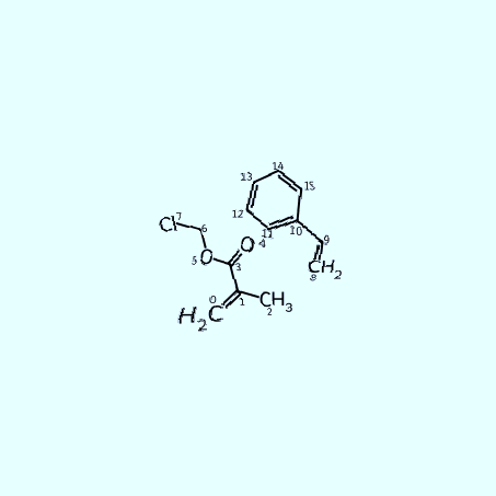 C=C(C)C(=O)OCCl.C=Cc1ccccc1